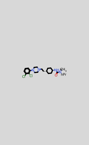 CCCN(C)C(=O)N[C@H]1CC[C@H](CCN2CCN(c3cccc(Cl)c3Cl)CC2)CC1